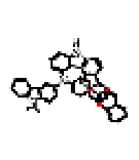 C[SiH]1c2ccc3c(c2C2C(N(C4=CCC(c5ccc6ccccc6c5)C=C4)C4C=C5C(=CC4)[Si](C)(C)C4=C5C=CCC4)=CC=CC21)SC1C=CC=CC31